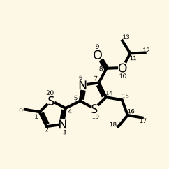 Cc1cnc(-c2nc(C(=O)OC(C)C)c(CC(C)C)s2)s1